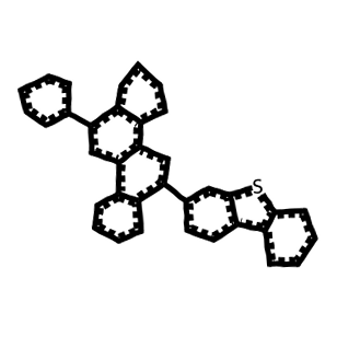 c1ccc(-c2cc3c4ccccc4c(-c4ccc5c(c4)sc4ccccc45)cc3c3ccccc23)cc1